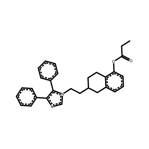 CCC(=O)Oc1cccc2c1CCC(CCn1cnc(-c3ccccc3)c1-c1ccccc1)C2